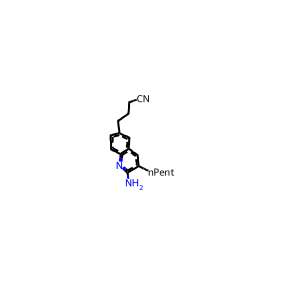 CCCCCc1cc2cc(CCCC#N)ccc2nc1N